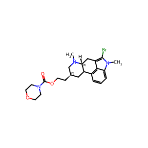 CN1C[C@H](CCOC(=O)N2CCOCC2)CC2c3cccc4c3c(c(Br)n4C)C[C@H]21